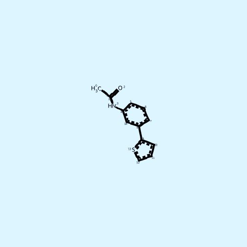 CC(=O)Nc1cccc(-c2cccs2)c1